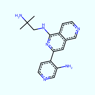 CC(C)(N)CNc1nc(-c2ccncc2N)cc2cnccc12